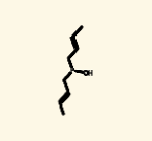 CC=CCP(O)CC=CC